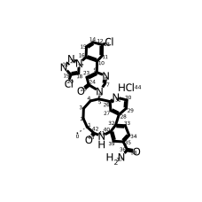 C[C@@H]1CCC[C@H](n2cnc(-c3cc(Cl)ccc3-n3cc(Cl)nn3)cc2=O)c2cc(ccn2)-c2ccc(C(N)=O)cc2NC1=O.Cl